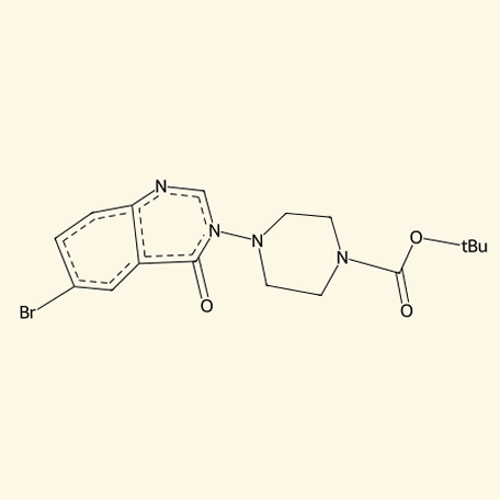 CC(C)(C)OC(=O)N1CCN(n2cnc3ccc(Br)cc3c2=O)CC1